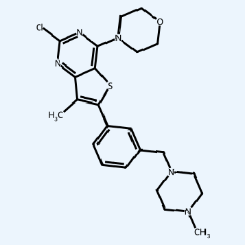 Cc1c(-c2cccc(CN3CCN(C)CC3)c2)sc2c(N3CCOCC3)nc(Cl)nc12